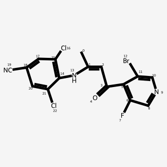 CC(=CC(=O)c1c(F)cncc1Br)Nc1c(Cl)cc(C#N)cc1Cl